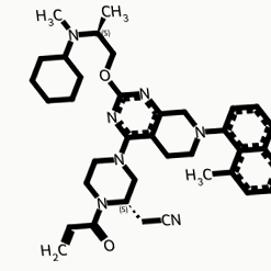 C=CC(=O)N1CCN(c2nc(OC[C@H](C)N(C)C3CCCCC3)nc3c2CCN(c2cccc4cccc(C)c24)C3)C[C@@H]1CC#N